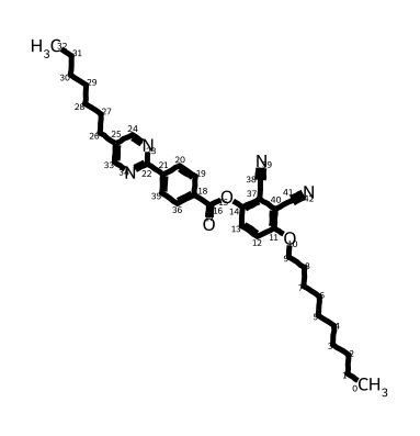 CCCCCCCCCCOc1ccc(OC(=O)c2ccc(-c3ncc(CCCCCCC)cn3)cc2)c(C#N)c1C#N